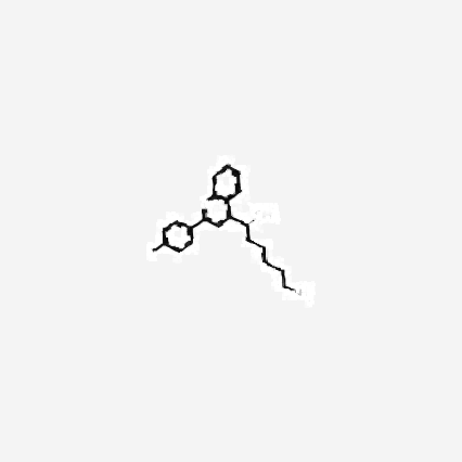 Cc1ccc(-c2cc([C@@H](O)CCCCCN)c3ccccc3n2)cc1